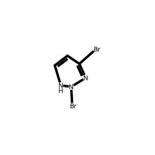 BrC1=NN(Br)NC=C1